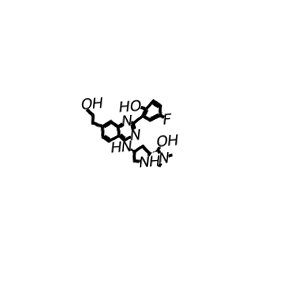 CN(C)C(O)[C@H]1C[C@H](Nc2nc(-c3cc(F)ccc3O)nc3cc(CCCO)ccc23)CN1